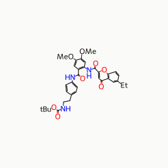 CCc1ccc2oc(C(=O)Nc3cc(OC)c(OC)cc3C(=O)Nc3ccc(CCNC(=O)OC(C)(C)C)cc3)cc(=O)c2c1